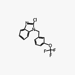 FC(F)(F)Oc1cccc(Cn2c(Cl)nc3ccccc32)c1